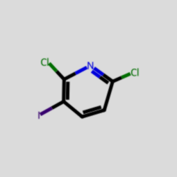 Clc1ccc(I)c(Cl)n1